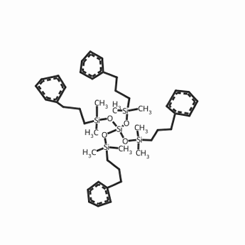 C[Si](C)(CCCc1ccccc1)O[Si](O[Si](C)(C)CCCc1ccccc1)(O[Si](C)(C)CCCc1ccccc1)O[Si](C)(C)CCCc1ccccc1